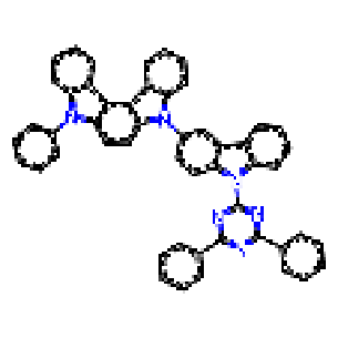 c1ccc(-c2nc(-c3ccccc3)nc(-n3c4ccccc4c4cc(-n5c6ccccc6c6c7c8ccccc8n(-c8ccccc8)c7ccc65)ccc43)n2)cc1